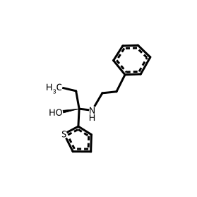 CC[C@](O)(NCCc1ccccc1)c1cccs1